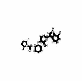 C[C@H]1CC[C@H](C)N1C(=O)N[C@H]1CCC[C@@H](Nc2nc(-c3c[nH]c4c(F)cc(F)cc34)ncc2F)C1